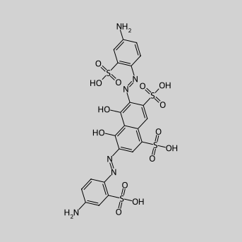 Nc1ccc(/N=N/c2cc(S(=O)(=O)O)c3cc(S(=O)(=O)O)c(/N=N/c4ccc(N)cc4S(=O)(=O)O)c(O)c3c2O)c(S(=O)(=O)O)c1